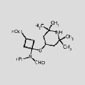 CCCCCCCCC1CC(OC2CC(C)(C)NC(C)(C)C2)(N(C=O)CCC)C1